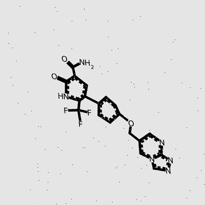 NC(=O)c1cc(-c2ccc(OCc3cnc4nncn4c3)cc2)c(C(F)(F)F)[nH]c1=O